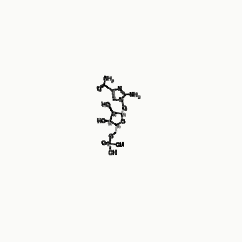 NC(=O)c1cn(O[C@@H]2O[C@H](COP(=O)(O)O)[C@@H](O)[C@H]2O)c(N)n1